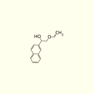 C=COCC(O)c1ccc2ccccc2c1